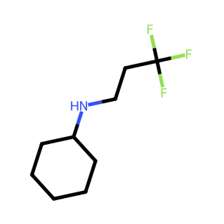 FC(F)(F)CCNC1CCCCC1